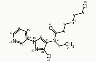 CCN(C(=O)CCSCCCl)c1cn(-c2cccnc2)nc1Cl